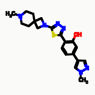 CN1CCC2(CC1)CN(c1nnc(-c3ccc(-c4cnn(C)c4)cc3O)s1)C2